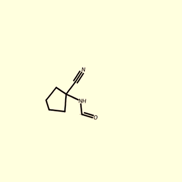 N#CC1(N[C]=O)CCCC1